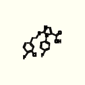 O=C(O)c1cnc(SCCc2ccc(F)c(Cl)c2)n1-c1ccc(F)cc1